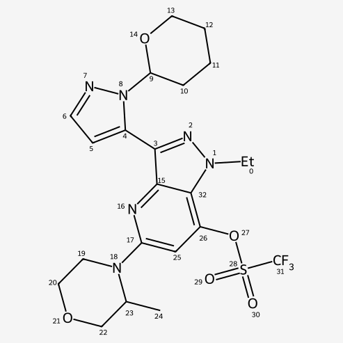 CCn1nc(-c2ccnn2C2CCCCO2)c2nc(N3CCOCC3C)cc(OS(=O)(=O)C(F)(F)F)c21